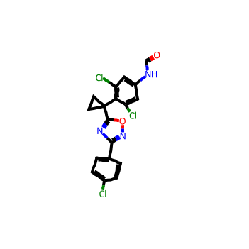 O=CNc1cc(Cl)c(C2(c3nc(-c4ccc(Cl)cc4)no3)CC2)c(Cl)c1